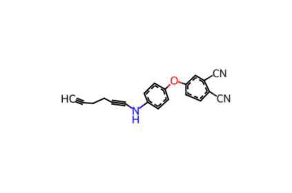 C#CCCC#CNc1ccc(Oc2ccc(C#N)c(C#N)c2)cc1